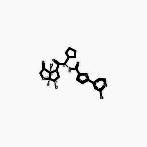 CCc1cc(-c2ccc(C(=O)N[C@H](C(=O)N3C[C@H](Cl)[C@H]4OCC(=O)[C@H]43)C3CCCC3)s2)ccn1